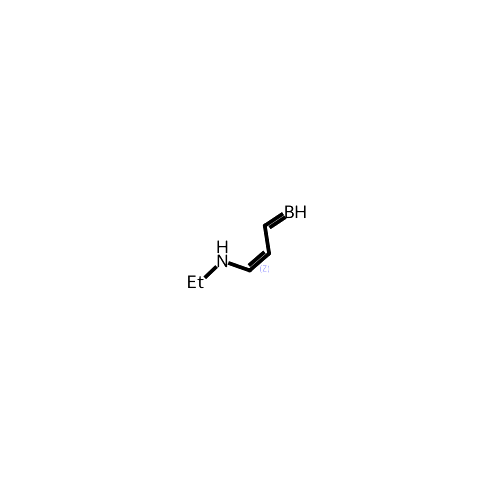 B=C/C=C\NCC